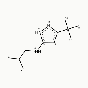 CC(C)CNc1cc(C(C)(C)C)n[nH]1